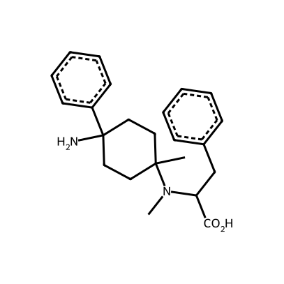 CN(C(Cc1ccccc1)C(=O)O)C1(C)CCC(N)(c2ccccc2)CC1